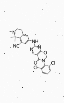 CN1CCc2cc(Nc3ncc4c(n3)OCN(c3c(Cl)cccc3Cl)C4=O)cc(C#N)c2C1(C)C